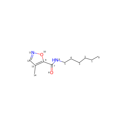 CCCCCCNC(=O)c1oncc1C